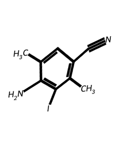 Cc1cc(C#N)c(C)c(I)c1N